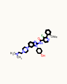 COc1ccccc1-c1nccc(C(=O)Nc2nc3ccc(N4CCN(CCN(C)C)CC4)cc3n2[C@H]2CC[C@@H](O)CC2)c1F